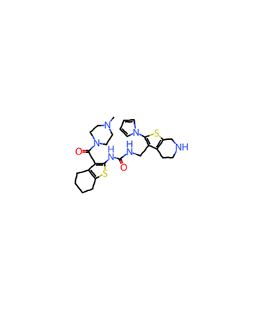 CN1CCN(C(=O)c2c(NC(=O)NCc3c(-n4cccc4)sc4c3CCNC4)sc3c2CCCC3)CC1